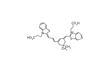 CC1(C)CC(/C=C/C=C2\Sc3ccccc3N2CCC(=O)O)=CC(=C/c2sc3ccccc3[n+]2CCC(=O)O)/C1